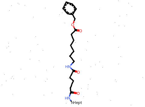 CCCCCCCNC(=O)CCCC(=O)NCCCCCCC(=O)OCc1ccccc1